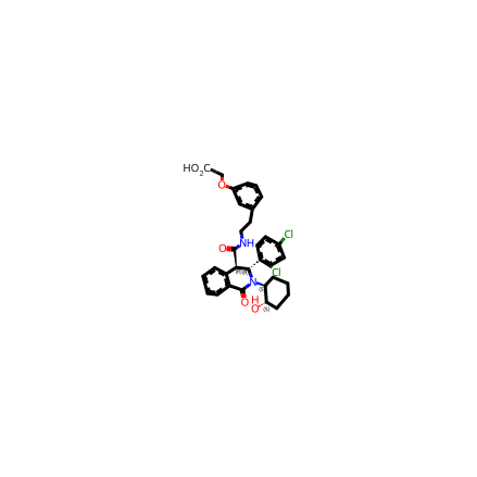 O=C(O)COc1cccc(CCNC(=O)[C@@H]2c3ccccc3C(=O)N([C@H]3CCCC[C@@H]3O)[C@H]2c2ccc(Cl)cc2Cl)c1